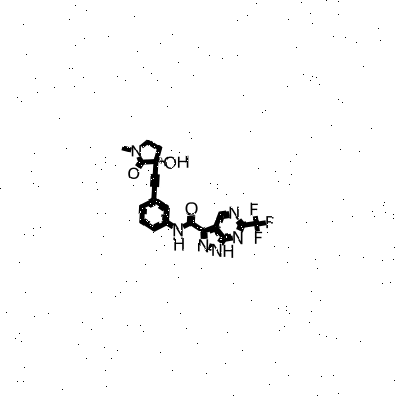 CN1CC[C@@](O)(C#Cc2cccc(NC(=O)c3n[nH]c4nc(C(F)(F)F)ncc34)c2)C1=O